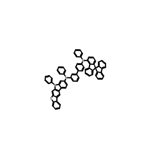 c1ccc(N(c2cccc(-c3ccc(N(c4ccccc4)c4cccc5c4-c4ccccc4C54c5ccccc5-c5ccccc54)cc3)c2)c2ccc3c4cc5c(cc4n(-c4ccccc4)c3c2)sc2ccccc25)cc1